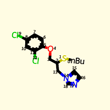 CCCCSC(COc1ccc(Cl)cc1Cl)Cn1ccnc1